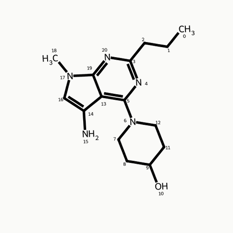 CCCc1nc(N2CCC(O)CC2)c2c(N)cn(C)c2n1